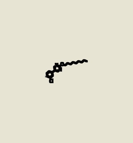 CCCCCCCCCOc1ncc(-c2cc[c]c(Cl)c2)cn1